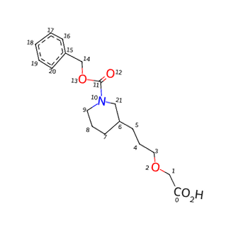 O=C(O)COCCCC1CCCN(C(=O)OCc2ccccc2)C1